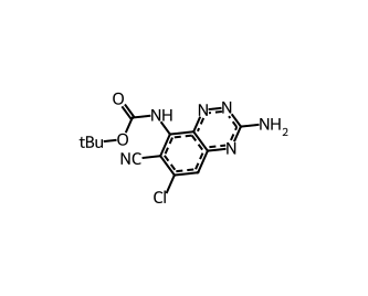 CC(C)(C)OC(=O)Nc1c(C#N)c(Cl)cc2nc(N)nnc12